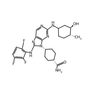 C[C@@H]1CCC(Nc2ncc3nc(Nc4c(F)ccc(F)c4F)n([C@H]4CC[C@@H](C(N)=O)CC4)c3n2)C[C@H]1O